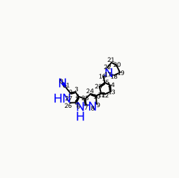 N#CC1=Cc2c([nH]c3ncc(-c4cccc(CN5CCCCC5)c4)cc23)CN1